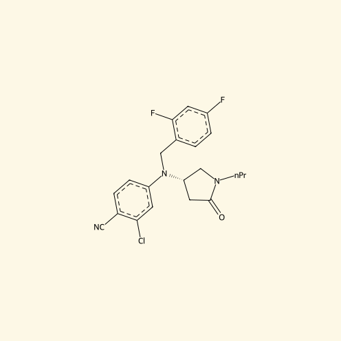 CCCN1C[C@@H](N(Cc2ccc(F)cc2F)c2ccc(C#N)c(Cl)c2)CC1=O